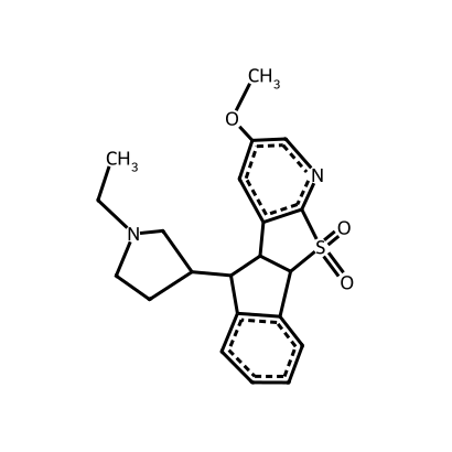 CCN1CCC(C2c3ccccc3C3C2c2cc(OC)cnc2S3(=O)=O)C1